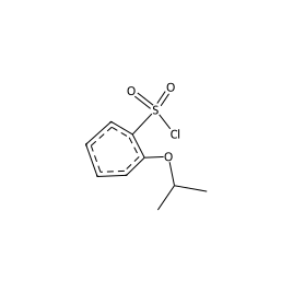 CC(C)Oc1ccccc1S(=O)(=O)Cl